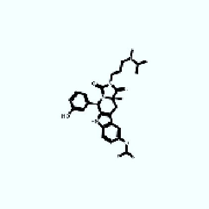 CC(C)N(C)CCCN1C(=O)N2[C@H](c3cccc(O)c3)c3[nH]c4ccc(OC(F)F)cc4c3C[C@@]2(C)C1=O